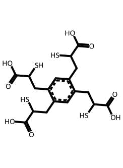 O=C(O)C(S)Cc1cc(CC(S)C(=O)O)c(CC(S)C(=O)O)cc1CC(S)C(=O)O